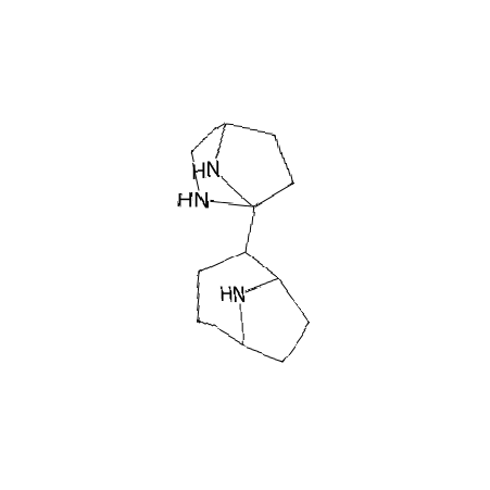 C1CC2NC1CCC2C12CCC(CN1)N2